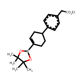 CCOC(=O)Cc1ccc(C2CC=C(B3OC(C)(C)C(C)(C)O3)CC2)cc1